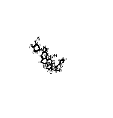 COCc1cc(-n2ncc3c2C=C2CC[C@@H]4[C@H]([C@@H](O)C[C@@]5(C)[C@H]4CC[C@]5(OC(=O)c4ccco4)C(=O)SCF)[C@@]2(C)C3)ccc1F